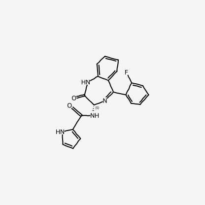 O=C(N[C@H]1N=C(c2ccccc2F)c2ccccc2NC1=O)c1ccc[nH]1